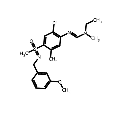 CCN(C)C=Nc1cc(C)c(S(C)(=O)=NCc2cccc(OC)c2)cc1Cl